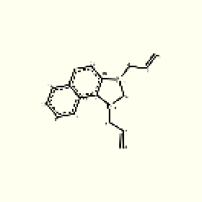 C=CCN1CN(CC=C)c2c1ccc1ccccc21